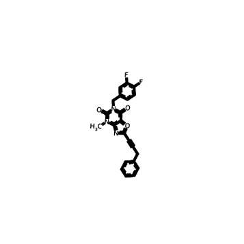 Cn1c(=O)n(Cc2ccc(F)c(F)c2)c(=O)c2oc(C#CCc3ccccc3)nc21